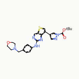 CC(C)(C)OC(=O)n1cc(-c2csc3cnc(Nc4ccc(CN5CCOCC5)cc4)nc23)cn1